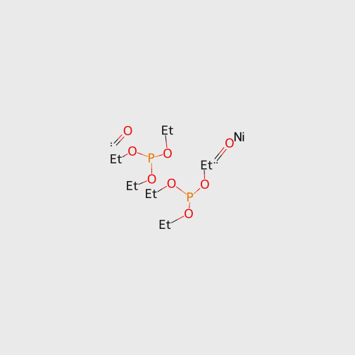 CCOP(OCC)OCC.CCOP(OCC)OCC.[C]=O.[C]=O.[Ni]